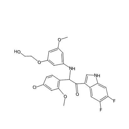 COc1cc(NC(C(=O)c2c[nH]c3cc(F)c(F)cc23)c2ccc(Cl)cc2OC)cc(OCCO)c1